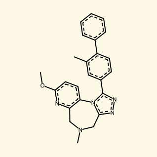 COc1ccc2c(n1)CN(C)Cc1nnc(-c3ccc(-c4ccccc4)c(C)c3)n1-2